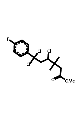 COC(=O)CC(C)(C)C(Cl)CC(Cl)(Cl)c1ccc(F)cc1